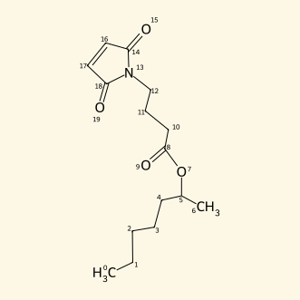 CCCCCC(C)OC(=O)CCCN1C(=O)C=CC1=O